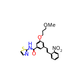 COCCCOc1cc(/C=C/c2ccccc2[N+](=O)[O-])cc(C(=O)Nc2nccs2)c1